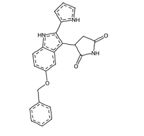 O=C1CC(c2c(-c3ccc[nH]3)[nH]c3ccc(OCc4ccccc4)cc23)C(=O)N1